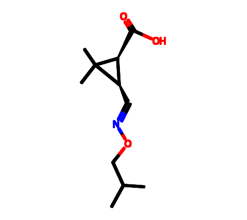 CC(C)CON=C[C@@H]1[C@H](C(=O)O)C1(C)C